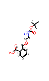 CC(C)(C)OC(=O)NC[CH]OCc1ccccc1C(=O)O